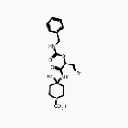 CC(C)CC(OC(=O)NCc1ccccc1)C(=O)NC1(C#N)CCN(C(=O)O)CC1